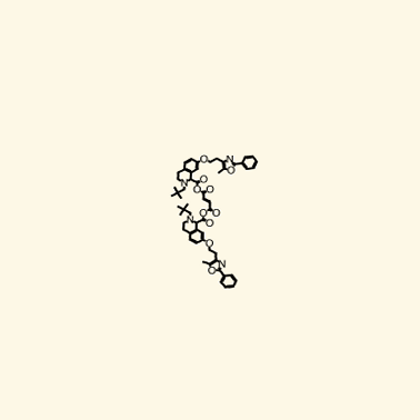 Cc1oc(-c2ccccc2)nc1CCOc1ccc2c(c1)C(C(=O)OC(=O)/C=C/C(=O)OC(=O)C1c3cc(OCCc4nc(-c5ccccc5)oc4C)ccc3CCN1CC(C)(C)C)N(CC(C)(C)C)CC2